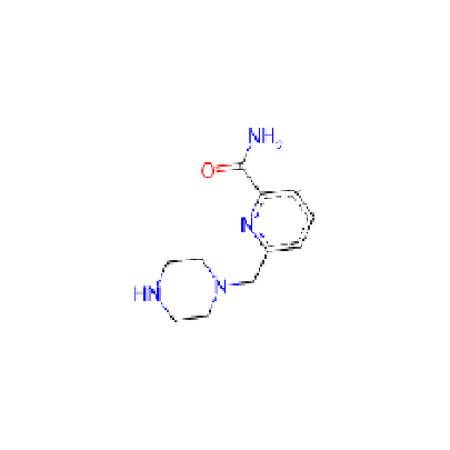 NC(=O)c1[c]ccc(CN2CCNCC2)n1